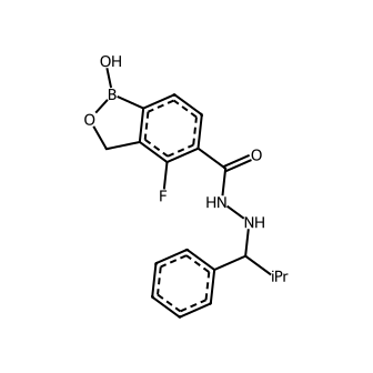 CC(C)C(NNC(=O)c1ccc2c(c1F)COB2O)c1ccccc1